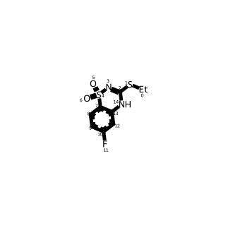 CCSC1=NS(=O)(=O)c2ccc(F)cc2N1